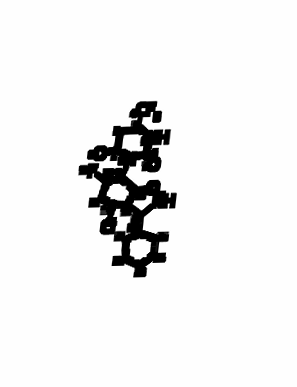 O=c1cc(C(F)(F)F)[nH]c(=O)n1-c1c(F)cc(Cl)c2c1ONC2c1ccccc1